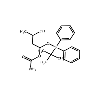 CC(O)CC(OC(N)=O)O[Si](c1ccccc1)(c1ccccc1)C(C)(C)C